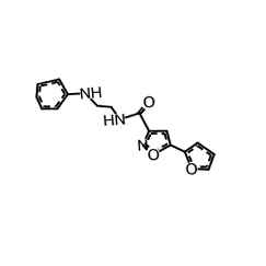 O=C(NCCNc1ccccc1)c1cc(-c2ccco2)on1